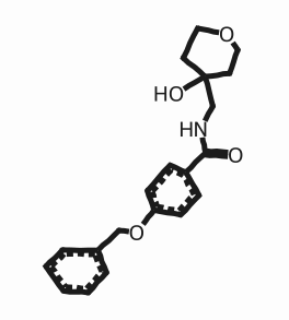 O=C(NCC1(O)CCOCC1)c1ccc(OCc2ccccc2)cc1